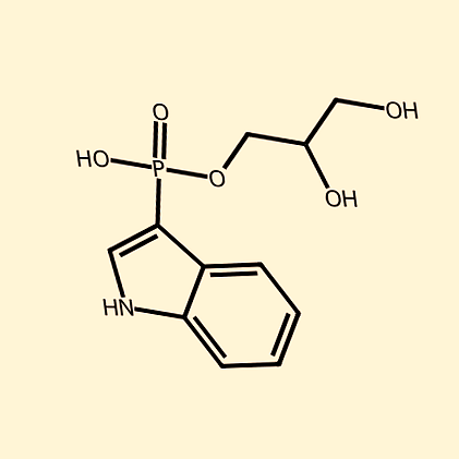 O=P(O)(OCC(O)CO)c1c[nH]c2ccccc12